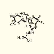 CC(O)CNc1nc2c(F)c(F)cc(/C(=N/O)Nc3ccc(F)c(Cl)c3)c2[nH]1